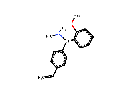 C=Cc1ccc([SiH](c2ccccc2OC(C)(C)C)N(C)C)cc1